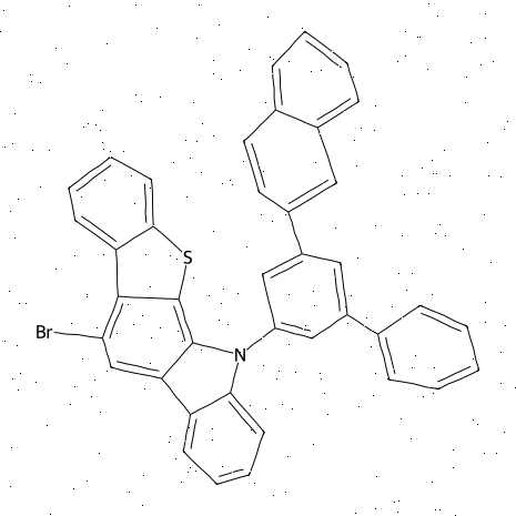 Brc1cc2c3ccccc3n(-c3cc(-c4ccccc4)cc(-c4ccc5ccccc5c4)c3)c2c2sc3ccccc3c12